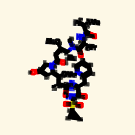 CC[C@H](C)[C@@H]([C@@H](CC(=O)N1CC(=O)C[C@H]1[C@H](OC)[C@@H](C)C(=O)N[C@@H](Cc1ccccn1)C(=O)NS(=O)(=O)C1CC1)OC)N(C)C(=O)[C@@H](NC(=O)[C@@H](NC)C(C)C)C(C)C